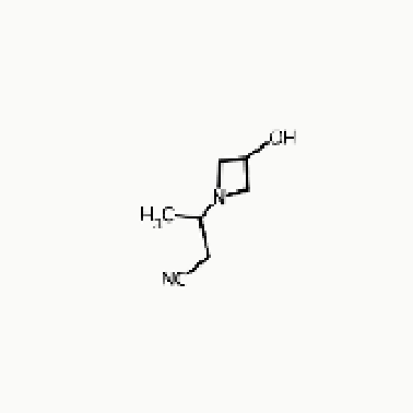 CC(CC#N)N1CC(O)C1